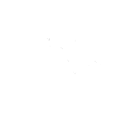 CN[C@@H]1C(Nc2nc(Nc3cc(F)cc(F)c3)c(C(N)=O)cc2F)CCCC1(F)F